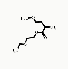 C=C(CCOC)C(=O)OCCOCC